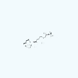 CC(=CC[C@H](O[Si](C)(C)C(C)(C)C)C(C)=Cc1csc(C)n1)CCC[C@H](C)[C@H](O)[C@@H](C)C(=O)C(C)(C)C(N)=O